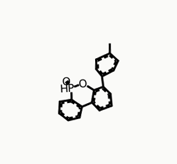 Cc1ccc(-c2cccc3c2O[PH](=O)c2ccccc2-3)cc1